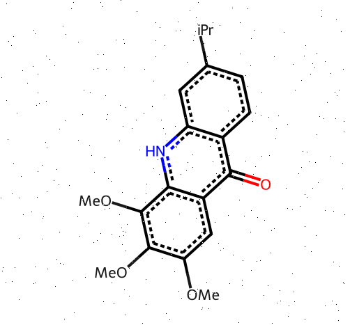 COc1cc2c(=O)c3ccc(C(C)C)cc3[nH]c2c(OC)c1OC